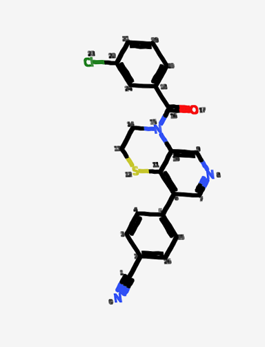 N#Cc1ccc(-c2cncc3c2SCCN3C(=O)c2cccc(Cl)c2)cc1